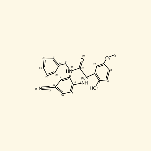 COc1ccc(O)c([C@H](Nc2ccc(C#N)cc2)C(=O)NCc2ccccc2)c1